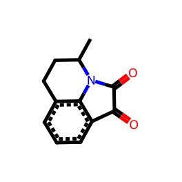 CC1CCc2cccc3c2N1C(=O)C3=O